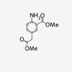 COC(=O)Cc1ccc(N)c(C(=O)OC)c1